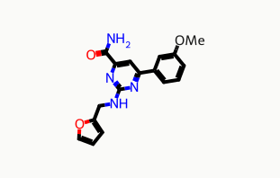 COc1cccc(-c2cc(C(N)=O)nc(NCc3ccco3)n2)c1